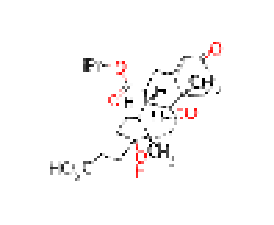 CC(C)OC(=O)[C@@H]1CC2=CC(=O)CC[C@]2(C)[C@@]23O[C@@H]2C[C@@]2(C)[C@@H](CC[C@@]2(O)CCC(=O)O)[C@H]13